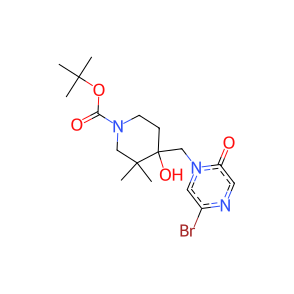 CC(C)(C)OC(=O)N1CCC(O)(Cn2cc(Br)ncc2=O)C(C)(C)C1